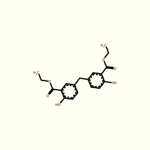 CCOC(=O)c1cc(Cc2ccc(O)c(C(=O)OCC)c2)ccc1O